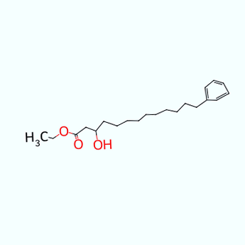 CCOC(=O)CC(O)CCCCCCCCCCc1ccccc1